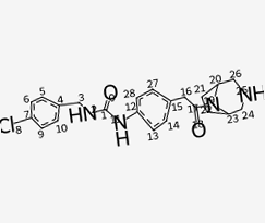 O=C(NCc1ccc(Cl)cc1)Nc1ccc(CC(=O)N2C3CCC2CNC3)cc1